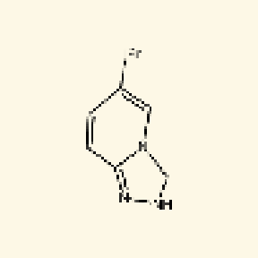 CC(C)C1=CN2CNN=C2C=C1